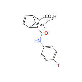 CC(C)=C1C2C=CC1C(C(=O)Nc1ccc(I)cc1)C2C(=O)O